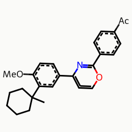 COc1ccc(C2=C=COC(c3ccc(C(C)=O)cc3)=N2)cc1C1(C)CCCCC1